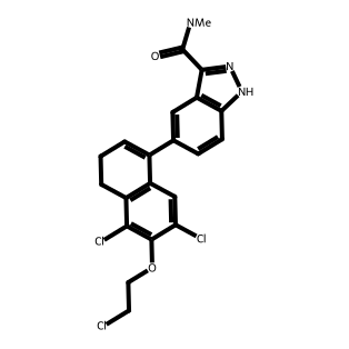 CNC(=O)c1n[nH]c2ccc(C3=CCCc4c3cc(Cl)c(OCCCl)c4Cl)cc12